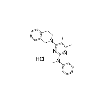 Cc1nc(N(C)c2ccccc2)nc(N2CCc3ccccc3C2)c1C.Cl